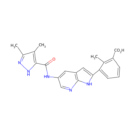 Cc1n[nH]c(C(=O)Nc2cnc3[nH]c(-c4cccc(C(=O)O)c4C)cc3c2)c1C